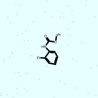 CCCOC(=O)Nc1ccccc1CC